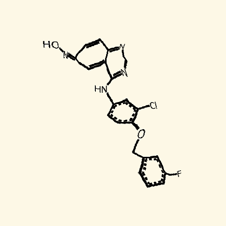 O/N=C1\C=CC2=NCN=C(Nc3ccc(OCc4cccc(F)c4)c(Cl)c3)C2=C1